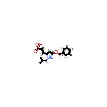 CC(C)Cn1nc(OCc2ccccc2)cc1C=CC(=O)O